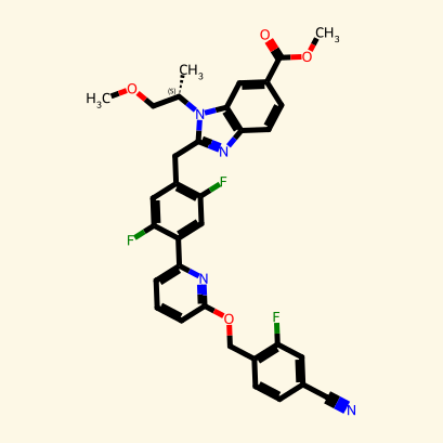 COC[C@H](C)n1c(Cc2cc(F)c(-c3cccc(OCc4ccc(C#N)cc4F)n3)cc2F)nc2ccc(C(=O)OC)cc21